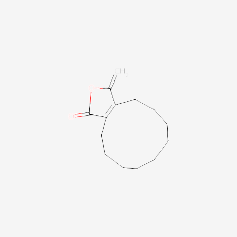 C=C1OC(=O)C2=C1CCCCCCCCC2